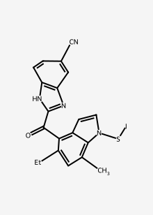 CCc1cc(C)c2c(ccn2SI)c1C(=O)c1nc2cc(C#N)ccc2[nH]1